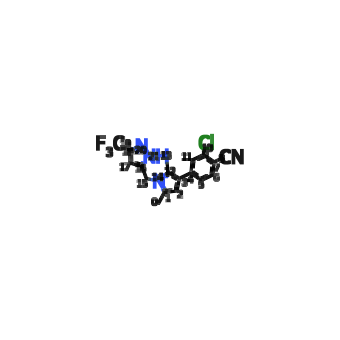 Cc1cc(-c2ccc(C#N)c(Cl)c2)c(C)n1Cc1cc(C(F)(F)F)n[nH]1